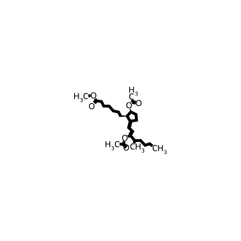 CCCCC(C)C(=CC=C1CC[C@@H](OC(C)=O)[C@@H]1CCCCCCC(=O)OC)OC(C)=O